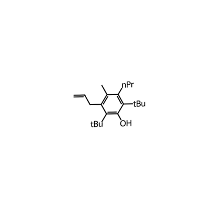 C=CCc1c(C)c(CCC)c(C(C)(C)C)c(O)c1C(C)(C)C